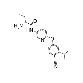 CC[C@@H](N)C(=O)Nc1ccc(Oc2ccc(C#N)c(C(C)C)c2)nc1